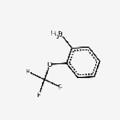 Bc1ccccc1OC(F)(F)F